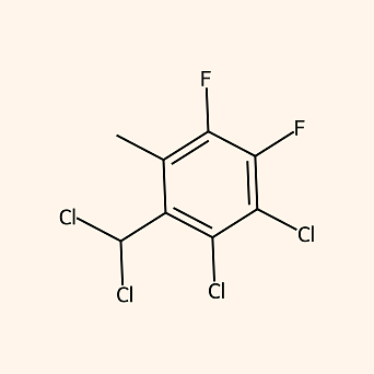 Cc1c(F)c(F)c(Cl)c(Cl)c1C(Cl)Cl